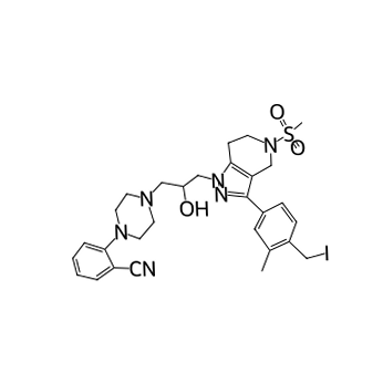 Cc1cc(-c2nn(CC(O)CN3CCN(c4ccccc4C#N)CC3)c3c2CN(S(C)(=O)=O)CC3)ccc1CI